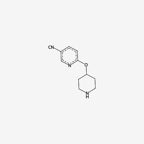 [C-]#[N+]c1ccc(OC2CCNCC2)nc1